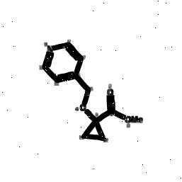 COC(=O)C1(OCc2ccncc2)CC1